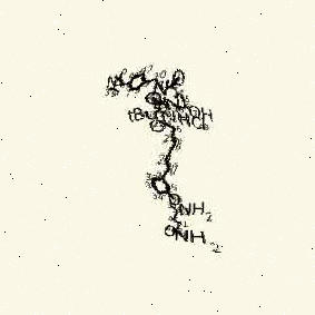 Cc1ncsc1-c1ccc(CNC(=O)[C@@H]2C[C@@H](O)CN2C(=O)[C@@H](NC(=O)CCCCCc2cccc(OC[C@@H](N)CCC(N)=O)c2)C(C)(C)C)cc1.Cl